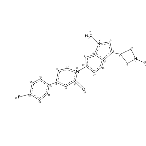 CC(C)N1CC(c2cn(C)c3cc(-n4ccc(-c5ccc(F)cc5)cc4=O)ccc23)C1